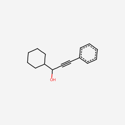 OC(C#Cc1ccccc1)C1CCCCC1